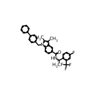 Cc1c(C)n(Cc2ccc(-c3ccccc3)cc2)c2ccc(C(=O)N[C@H](C)c3ccc(F)cc3C(F)(F)F)cc12